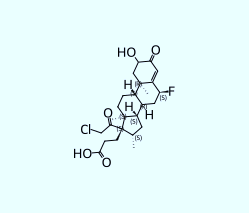 C[C@H]1C[C@H]2[C@@H]3C[C@H](F)C4=CC(=O)C(O)C[C@]4(C)[C@H]3CC[C@]2(C)[C@@]1(CCC(=O)O)C(=O)CCl